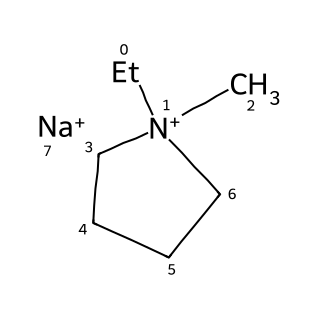 CC[N+]1(C)CCCC1.[Na+]